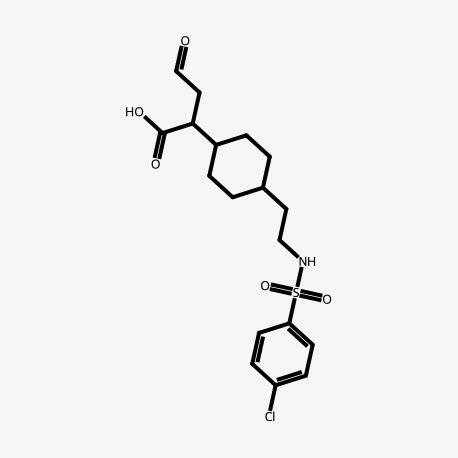 O=CCC(C(=O)O)C1CCC(CCNS(=O)(=O)c2ccc(Cl)cc2)CC1